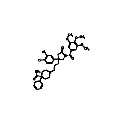 COc1cc(C(=O)N2CC(CCCN3CCC(C(N)=O)(c4ccccc4)CC3)(c3ccc(Cl)c(Cl)c3)CC2=O)cc(OC)c1OC